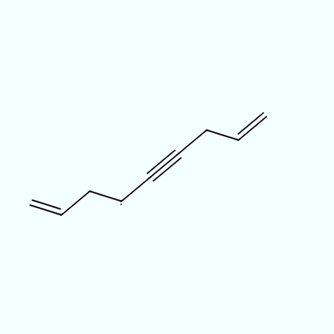 C=CCC#C[CH]CC=C